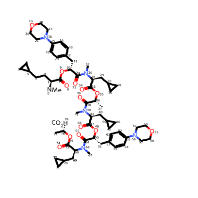 CN[C@@H](CCC1CC1)C(=O)O[C@H](Cc1ccc(N2CCOCC2)cc1)C(=O)N(C)[C@@H](CC1CC1)C(=O)O[C@H](C)C(=O)N(C)[C@@H](CC1CC1)C(=O)O[C@H](Cc1ccc(N2CCOCC2)cc1)C(=O)N(C)[C@@H](CC1CC1)C(=O)O[C@H](C)C(=O)O